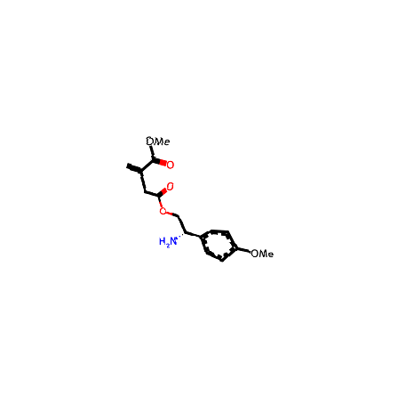 C=C(CC(=O)OC[C@@H](N)c1ccc(OC)cc1)C(=O)OC